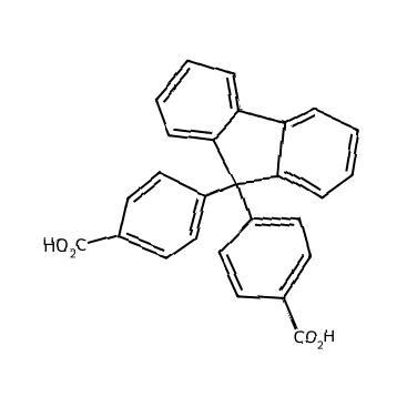 O=C(O)c1ccc(C2(c3ccc(C(=O)O)cc3)c3ccccc3-c3ccccc32)cc1